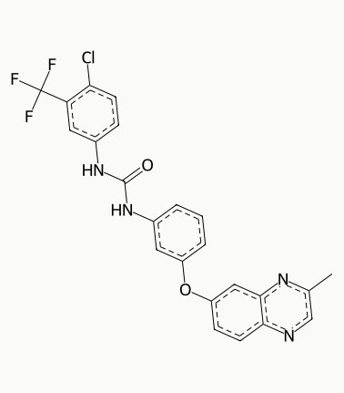 Cc1cnc2ccc(Oc3cccc(NC(=O)Nc4ccc(Cl)c(C(F)(F)F)c4)c3)cc2n1